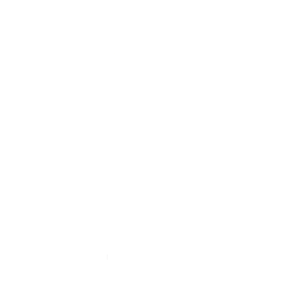 Cc1ccc(S(=O)(=O)OCCCCCc2ccc(C(=O)O)cc2)cc1